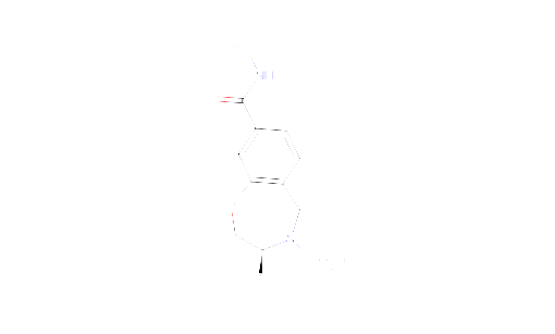 CCOC(=O)N1Cc2ccc(C(=O)NO)cc2OC[C@@H]1C